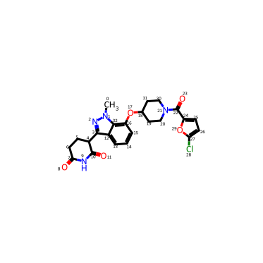 Cn1nc(C2CCC(=O)NC2=O)c2cccc(OC3CCN(C(=O)c4ccc(Cl)o4)CC3)c21